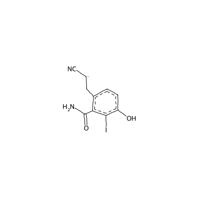 N#C[CH]Cc1ccc(O)c(I)c1C(N)=O